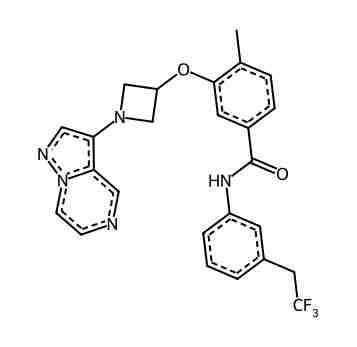 Cc1ccc(C(=O)Nc2cccc(CC(F)(F)F)c2)cc1OC1CN(c2cnn3ccncc23)C1